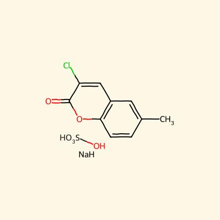 Cc1ccc2oc(=O)c(Cl)cc2c1.O=S(=O)(O)O.[NaH]